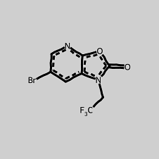 O=c1oc2ncc(Br)cc2n1CC(F)(F)F